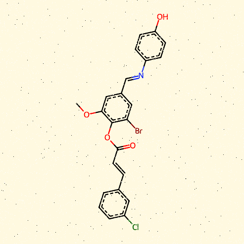 COc1cc(/C=N/c2ccc(O)cc2)cc(Br)c1OC(=O)C=Cc1cccc(Cl)c1